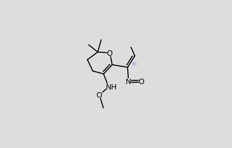 C/C=C(/N=O)C1=C(NOC)CCC(C)(C)O1